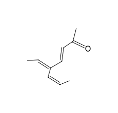 C\C=C/C(/C=C/C(C)=O)=C\C